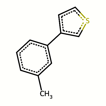 Cc1cccc(-c2ccsc2)c1